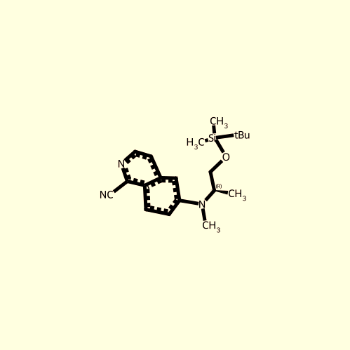 C[C@H](CO[Si](C)(C)C(C)(C)C)N(C)c1ccc2c(C#N)nccc2c1